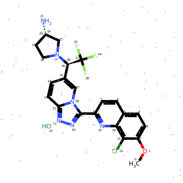 COc1ccc2ccc(-c3nnc4ccc([C@@H](N5CC[C@H](N)C5)C(F)(F)F)cn34)nc2c1Cl.Cl